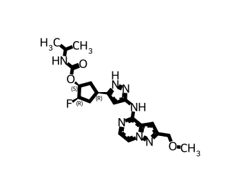 COCc1cc2c(Nc3cc([C@H]4C[C@@H](F)[C@@H](OC(=O)NC(C)C)C4)[nH]n3)nccn2n1